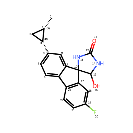 C[C@H]1C[C@H]1c1ccc2c(c1)C1(NC(=O)NC1O)c1cc(F)ccc1-2